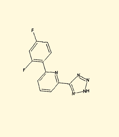 Fc1ccc(-c2cccc(-c3nn[nH]n3)n2)c(F)c1